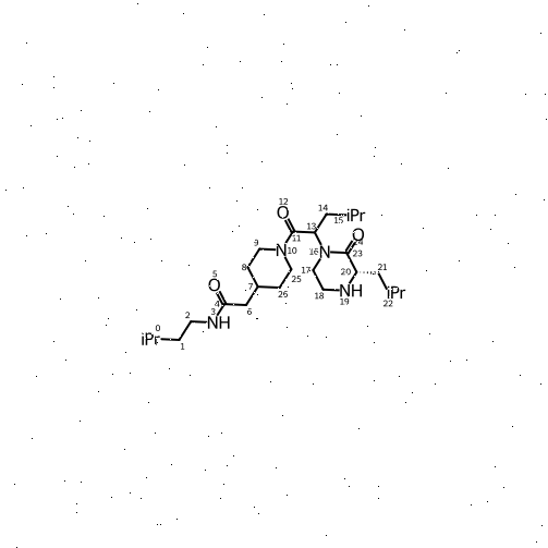 CC(C)CCNC(=O)CC1CCN(C(=O)C(CC(C)C)N2CCN[C@@H](CC(C)C)C2=O)CC1